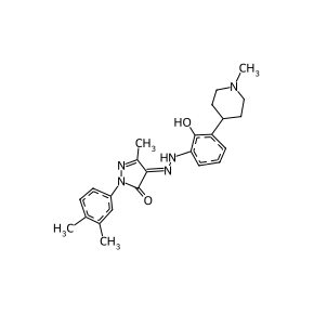 CC1=NN(c2ccc(C)c(C)c2)C(=O)/C1=N/Nc1cccc(C2CCN(C)CC2)c1O